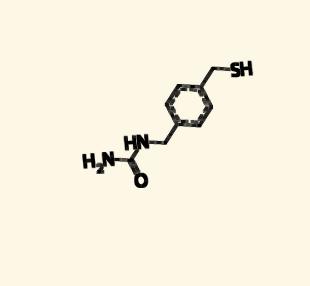 NC(=O)NCc1ccc(CS)cc1